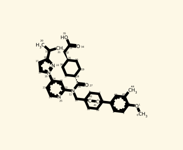 COc1ccc(C23CCC(CN(c4cc(-n5ccc(C(C)C)n5)ccn4)C(=O)[C@H]4CC[C@H](CC(=O)O)CC4)(CC2)CC3)cc1C